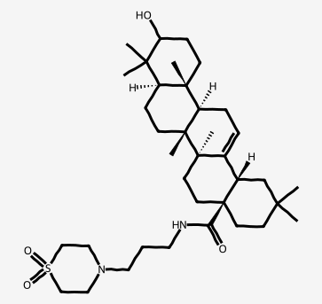 CC1(C)CC[C@]2(C(=O)NCCCN3CCS(=O)(=O)CC3)CC[C@]3(C)C(=CC[C@@H]4[C@@]5(C)CCC(O)C(C)(C)[C@@H]5CC[C@]43C)[C@@H]2C1